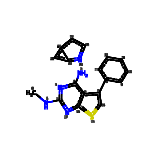 CNc1nc(N)c2c(-c3ccccc3)csc2n1.c1cc2cc-2n1